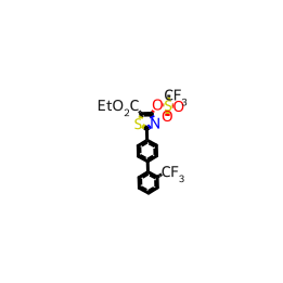 CCOC(=O)c1sc(-c2ccc(-c3ccccc3C(F)(F)F)cc2)nc1OS(=O)(=O)C(F)(F)F